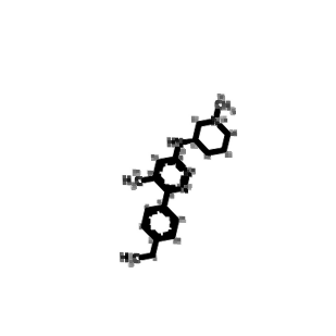 CCc1ccc(-c2nnc(N[C@@H]3CCCN(C)C3)cc2C)cc1